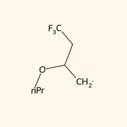 [CH2]C(CC(F)(F)F)OCCC